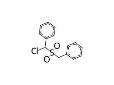 O=S(=O)(Cc1ccccc1)C(Cl)c1ccccc1